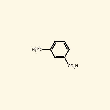 [114CH3]c1cccc(C(=O)O)c1